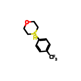 FC(F)(F)c1ccc([SH]2CCOCC2)cc1